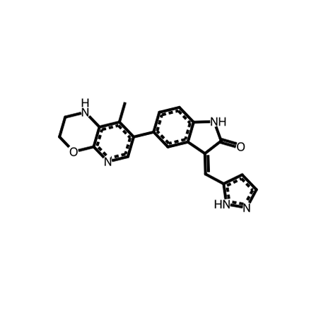 Cc1c(-c2ccc3c(c2)C(=Cc2ccn[nH]2)C(=O)N3)cnc2c1NCCO2